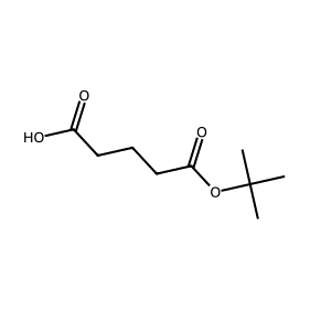 CC(C)(C)OC(=O)CCCC(=O)O